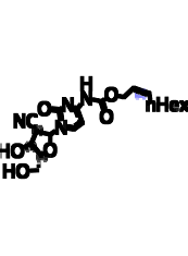 CCCCCC/C=C\COC(=O)Nc1ccn(C2O[C@H](CO)[C@@H](O)[C@@H]2C#N)c(=O)n1